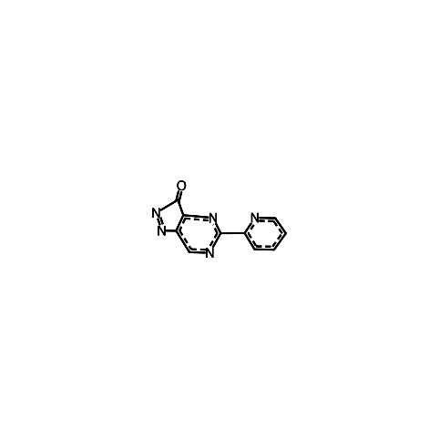 O=C1N=Nc2cnc(-c3ccccn3)nc21